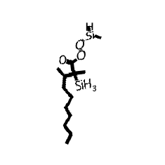 CCCCCCCC(C)C(C)([SiH3])C(=O)OO[SiH](C)C